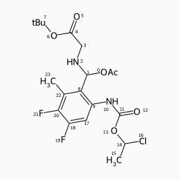 CC(=O)OC(NCC(=O)OC(C)(C)C)c1c(NC(=O)OC(C)Cl)cc(F)c(F)c1C